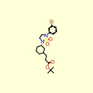 CC(C)(C)OC(=O)CCC1CCC[C@H](N2CCN(c3cccc(Br)c3)S2(=O)=O)C1